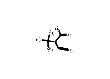 C=C[C@H](C(N)=O)C(C)(C)C